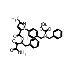 Cc1cc(C(=O)NC(Cc2ccccc2)C(=O)C(N)=O)n(-c2ccc(CN(Cc3ccccc3)C(=O)OC(C)(C)C)cc2)n1